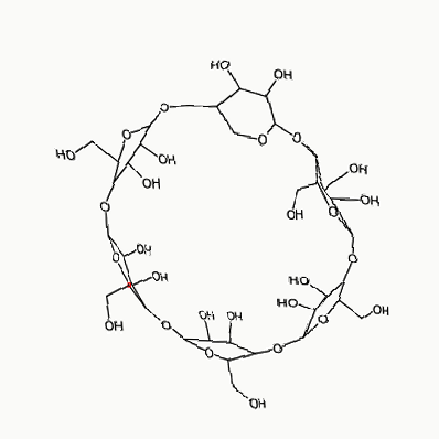 OCC1OC2OC3C(CO)OC(OC4C(CO)OC(OC5C(CO)OC(OC6C(CO)OC(OC7COC(OC1C(O)C2O)C(O)C7O)C(O)C6O)C(O)C5O)C(O)C4O)C(O)C3O